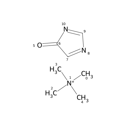 C[N+](C)(C)C.O=C1C=NC=N1